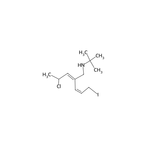 CC(Cl)/C=C(\C=C/CI)CNC(C)(C)C